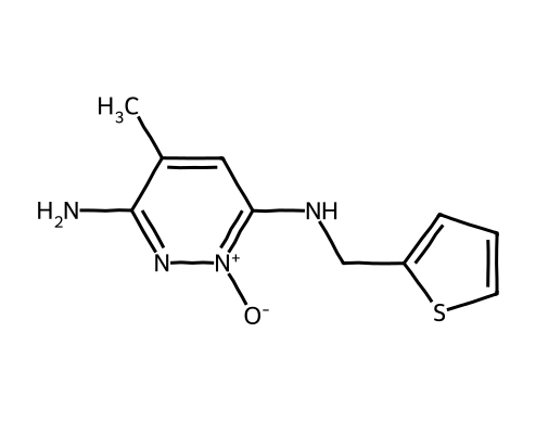 Cc1cc(NCc2cccs2)[n+]([O-])nc1N